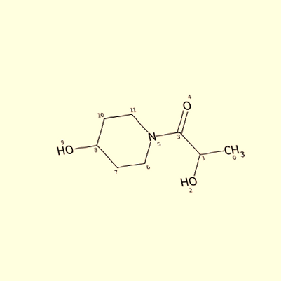 CC(O)C(=O)N1CCC(O)CC1